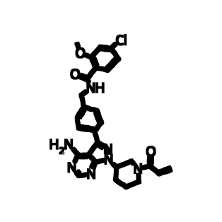 C=CC(=O)N1CCCC(n2nc(-c3ccc(CNC(=O)c4ccc(Cl)cc4OC)cc3)c3c(N)ncnc32)C1